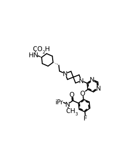 CC(C)N(C)C(=O)c1cc(F)ccc1Oc1cncnc1N1CC2(CN(CC[C@H]3CC[C@H](NC(=O)O)CC3)C2)C1